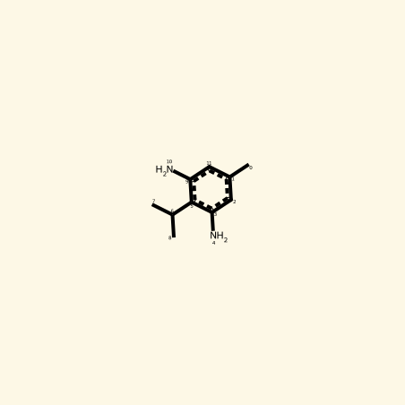 Cc1cc(N)c(C(C)C)c(N)c1